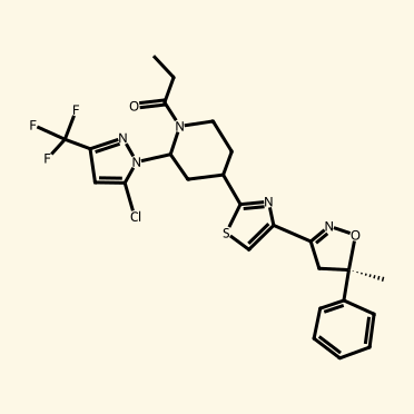 CCC(=O)N1CCC(c2nc(C3=NO[C@@](C)(c4ccccc4)C3)cs2)CC1n1nc(C(F)(F)F)cc1Cl